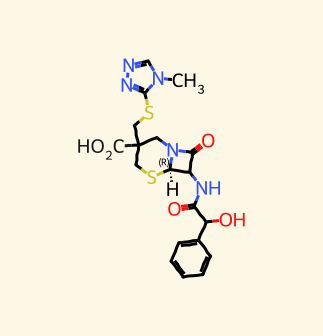 Cn1cnnc1SCC1(C(=O)O)CS[C@@H]2C(NC(=O)C(O)c3ccccc3)C(=O)N2C1